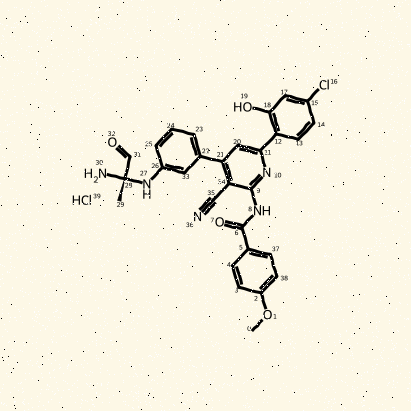 COc1ccc(C(=O)Nc2nc(-c3ccc(Cl)cc3O)cc(-c3cccc(N[C@](C)(N)C=O)c3)c2C#N)cc1.Cl